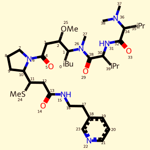 CCC(C)C(C(CC(=O)N1CCCC1C(CC(=O)NCCc1cccnc1)SC)OC)N(C)C(=O)C(NC(=O)C(C(C)C)N(C)C)C(C)C